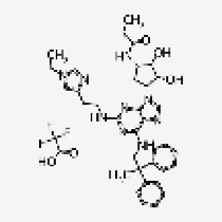 CCC(=O)N[C@H]1C[C@@H](n2cnc3c(NCC(C)(c4ccccc4)c4ccccc4)nc(NCCc4cn(CC)cn4)nc32)[C@H](O)[C@@H]1O.O=C(O)C(F)(F)F